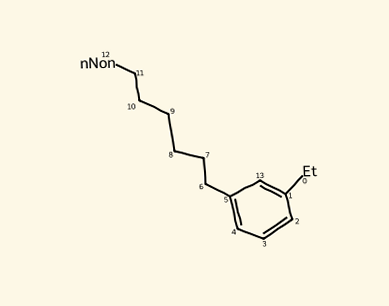 [CH2]Cc1cccc(CCCCCCCCCCCCCCC)c1